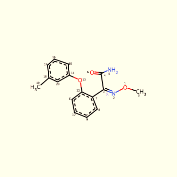 CO/N=C(\C(N)=O)c1ccccc1Oc1cccc(C)c1